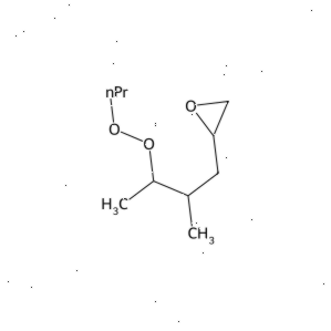 CCCOOC(C)C(C)CC1CO1